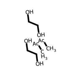 CC(C)=O.CC(C)=O.OCCO.OCCO